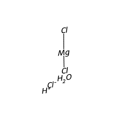 O.[Cl-].[Cl][Mg][Cl].[H+]